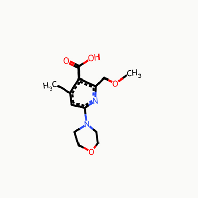 COCc1nc(N2CCOCC2)cc(C)c1C(=O)O